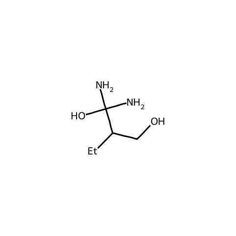 CCC(CO)C(N)(N)O